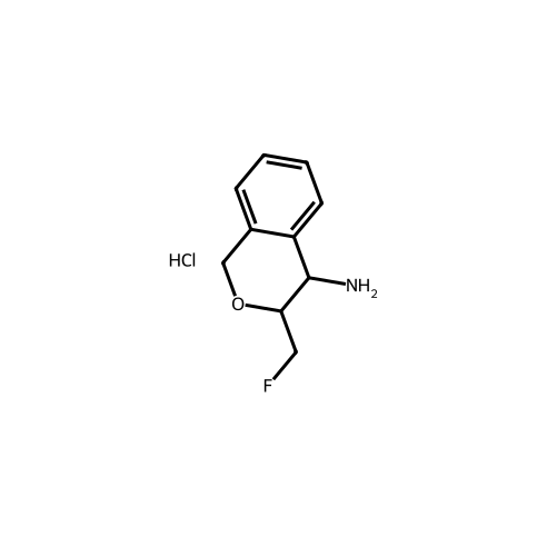 Cl.NC1c2ccccc2COC1CF